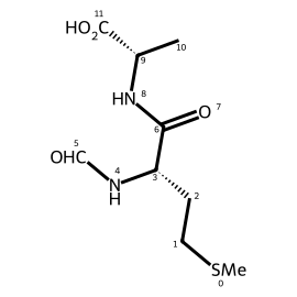 CSCC[C@H](NC=O)C(=O)N[C@@H](C)C(=O)O